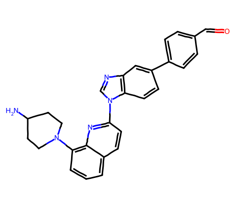 NC1CCN(c2cccc3ccc(-n4cnc5cc(-c6ccc(C=O)cc6)ccc54)nc23)CC1